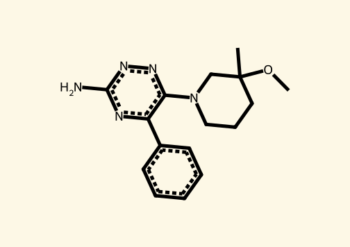 COC1(C)CCCN(c2nnc(N)nc2-c2ccccc2)C1